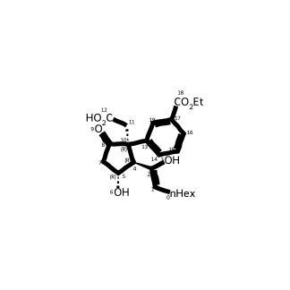 CCCCCCC=C(O)[C@H]1[C@H](O)CC(=O)[C@@]1(CC(=O)O)c1cccc(C(=O)OCC)c1